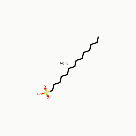 CCCCCCCCCCCCCCS(=O)(=O)O.[MgH2]